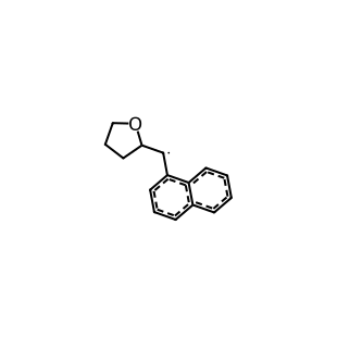 [CH](c1cccc2ccccc12)C1CCCO1